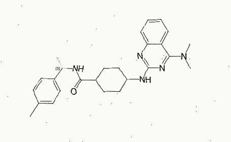 Cc1ccc([C@H](C)NC(=O)C2CCC(Nc3nc(N(C)C)c4ccccc4n3)CC2)cc1